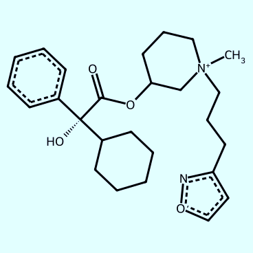 C[N+]1(CCCc2ccon2)CCCC(OC(=O)[C@](O)(c2ccccc2)C2CCCCC2)C1